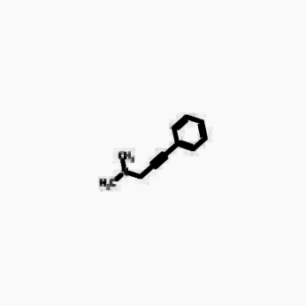 CN(C)CC#Cc1[c]cccc1